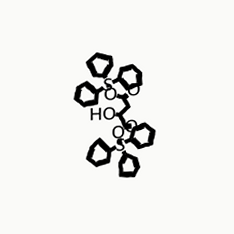 O=C(CC(O)C(=O)OS(c1ccccc1)(c1ccccc1)c1ccccc1)OS(c1ccccc1)(c1ccccc1)c1ccccc1